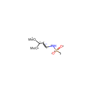 COC(/C=C/NS(C)(=O)=O)OC